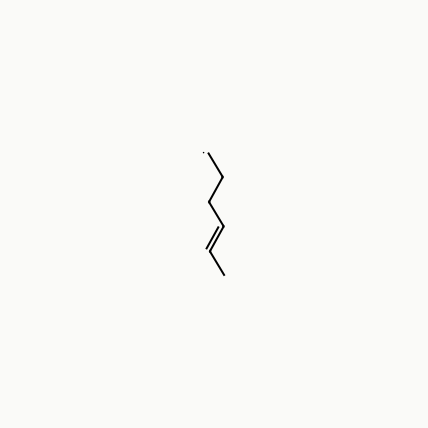 [CH2]CCC=CC